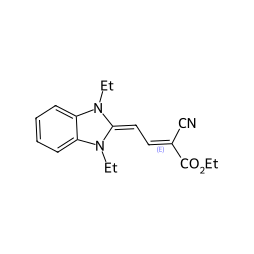 CCOC(=O)/C(C#N)=C/C=C1N(CC)c2ccccc2N1CC